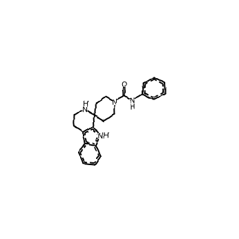 O=C(Nc1ccccc1)N1CCC2(CC1)NCCc1c2[nH]c2ccccc12